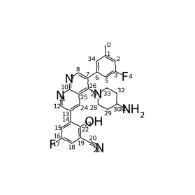 Cc1cc(F)cc(-c2cnc3ncc(-c4cc(F)cc(C#N)c4O)cc3c2N2CCC(N)CC2)c1